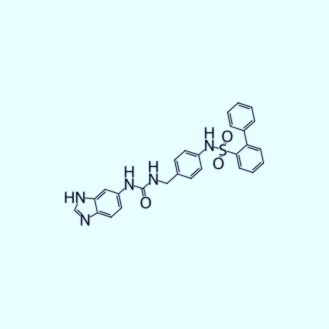 O=C(NCc1ccc(NS(=O)(=O)c2ccccc2-c2ccccc2)cc1)Nc1ccc2nc[nH]c2c1